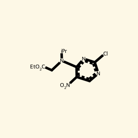 CCOC(=O)CN(c1nc(Cl)ncc1[N+](=O)[O-])C(C)C